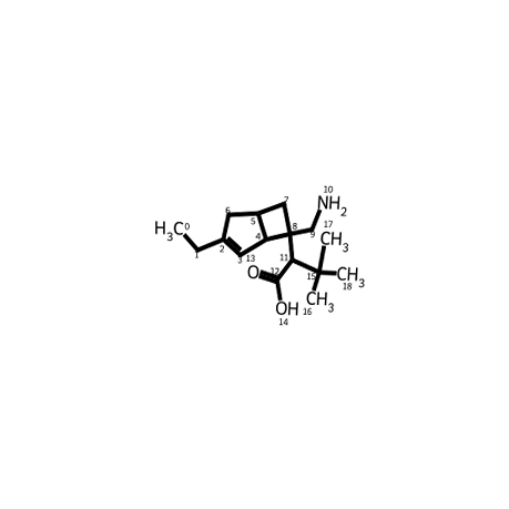 CCC1=CC2C(C1)CC2(CN)C(C(=O)O)C(C)(C)C